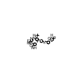 CNC(=O)c1ccccc1Nc1cc(Nc2cc(C)c(N3CCC(N(C)Cc4cccc(N5CCC(=O)NC5=O)c4)CC3)cc2OC(C)C)ncc1C(F)(F)F